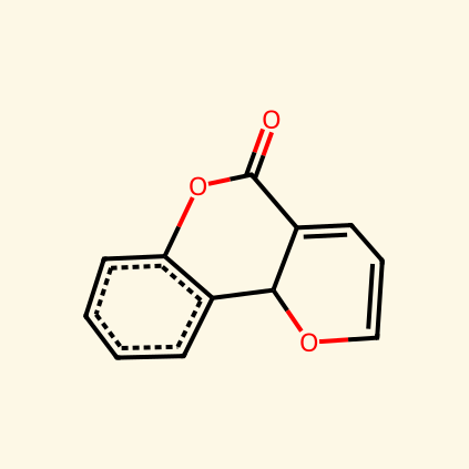 O=C1Oc2ccccc2C2OC=CC=C12